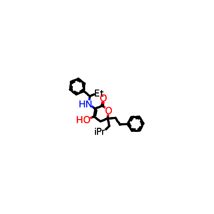 CCC(NC1=C(O)CC(CCc2ccccc2)(CC(C)C)OC1=O)c1ccccc1